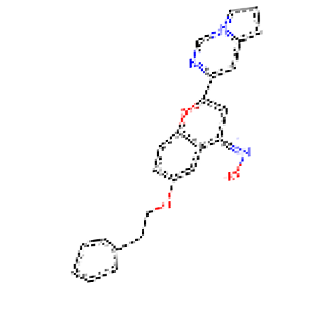 O/N=c1/cc(-c2cc3cccn3cn2)oc2ccc(OCCc3ccccc3)cc12